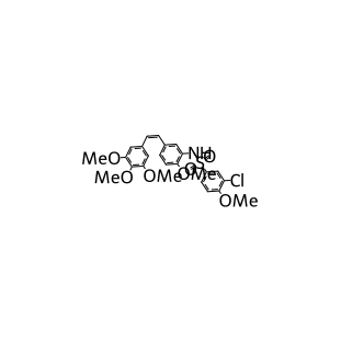 COc1ccc(S(=O)(=O)Nc2cc(/C=C\c3cc(OC)c(OC)c(OC)c3)ccc2OC)cc1Cl